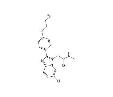 CNC(=O)Cc1c(-c2ccc(OCC[18F])cc2)nc2ccc(Cl)cn12